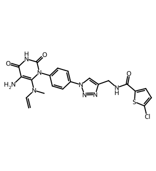 C=CN(C)c1c(N)c(=O)[nH]c(=O)n1-c1ccc(-n2cc(CNC(=O)c3ccc(Cl)s3)nn2)cc1